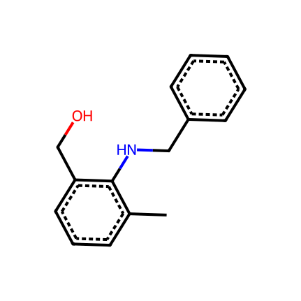 Cc1cccc(CO)c1NCc1ccccc1